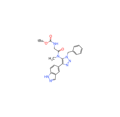 CN(C(=O)CNC(=O)OC(C)(C)C)c1c(-c2ccc3[nH]ncc3c2)nnn1Cc1ccccc1